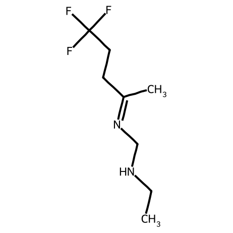 CCNC/N=C(\C)CCC(F)(F)F